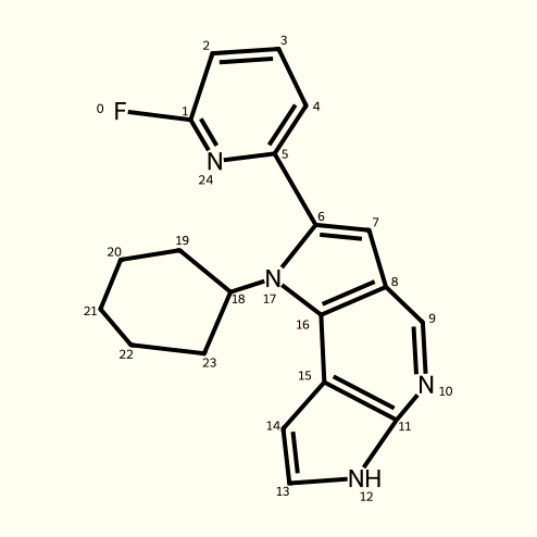 Fc1cccc(-c2cc3cnc4[nH]ccc4c3n2C2CCCCC2)n1